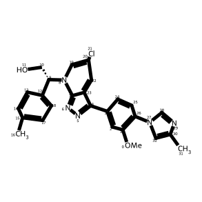 COc1cc(-c2nnc3n([C@@H](CO)c4ccc(C)cc4)cc(Cl)cc2-3)ccc1-n1cnc(C)c1